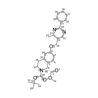 COC(=O)[C@H]1c2ccc(OCc3cnc(-c4ccccc4)nc3C)cc2CCN1C(=O)OC(C)(C)C